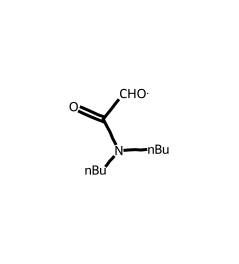 CCCCN(CCCC)C(=O)[C]=O